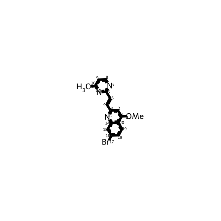 COc1cc(C=Cc2nccc(C)n2)nc2cc(Br)ccc12